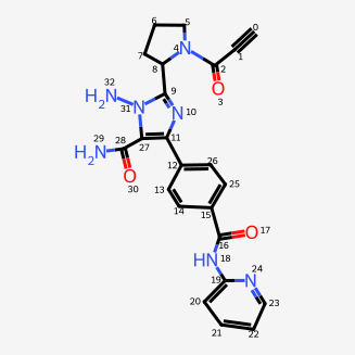 C#CC(=O)N1CCCC1c1nc(-c2ccc(C(=O)Nc3ccccn3)cc2)c(C(N)=O)n1N